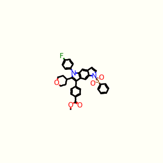 COC(=O)c1ccc(-c2c(C3CCOCC3)n(-c3ccc(F)cc3)c3cc4ccn(S(=O)(=O)c5ccccc5)c4cc23)cc1